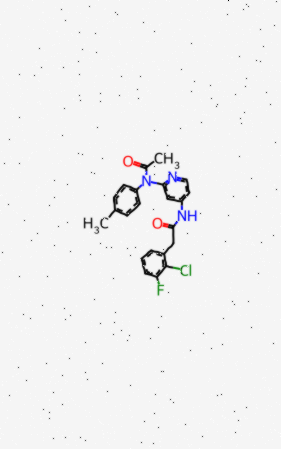 CC(=O)N(c1ccc(C)cc1)c1cc(NC(=O)Cc2cccc(F)c2Cl)ccn1